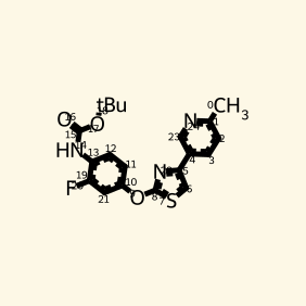 Cc1ccc(-c2csc(Oc3ccc(NC(=O)OC(C)(C)C)c(F)c3)n2)cn1